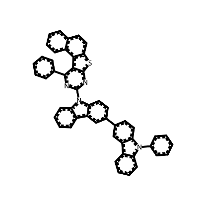 c1ccc(-c2nc(-n3c4ccccc4c4cc(-c5ccc6c(c5)c5ccccc5n6-c5ccccc5)ccc43)nc3sc4ccc5ccccc5c4c23)cc1